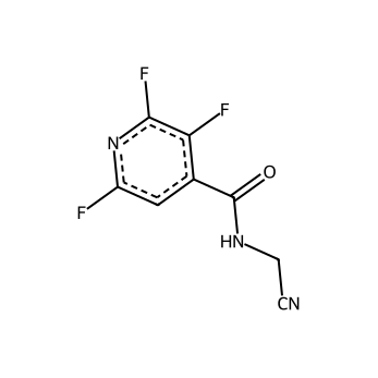 N#CCNC(=O)c1cc(F)nc(F)c1F